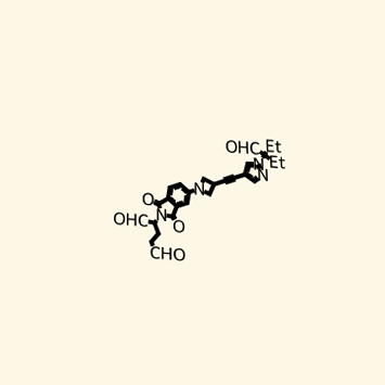 CCC(C=O)(CC)n1cc(C#CC2CN(c3ccc4c(c3)C(=O)N(C(C=O)CCC=O)C4=O)C2)cn1